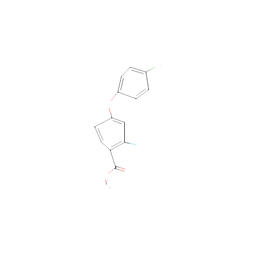 COC(=O)c1ccc(Oc2ccc(Cl)cc2)cc1F